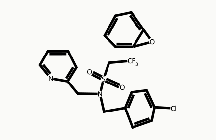 O=S(=O)(CC(F)(F)F)N(Cc1ccc(Cl)cc1)Cc1ccccn1.c1ccc2c(c1)O2